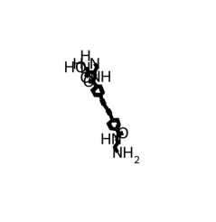 NCCNC(=O)c1ccc(C#CC#Cc2ccc(C(=O)NC(CN)C(=O)NO)cc2)cc1